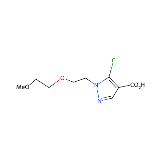 COCCOCCn1ncc(C(=O)O)c1Cl